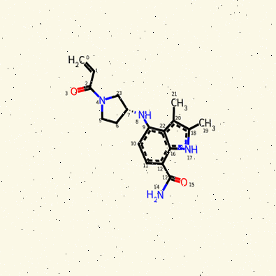 C=CC(=O)N1CC[C@@H](Nc2ccc(C(N)=O)c3[nH]c(C)c(C)c23)C1